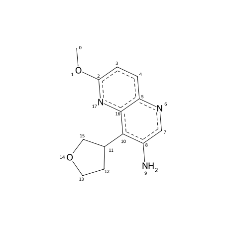 COc1ccc2ncc(N)c(C3CCOC3)c2n1